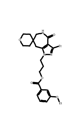 CCOc1cccc(C(=O)OCCCn2nc(CC)c3c2CC2(CCOCC2)CNC3=O)c1